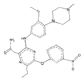 CCc1nc(C(N)=O)c(Nc2ccc(N3CCN(C)CC3)c(OC)c2)nc1Oc1cccc([N+](=O)[O-])c1